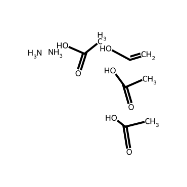 C=CO.CC(=O)O.CC(=O)O.CC(=O)O.N.N